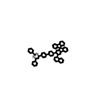 c1ccc(-c2cc(-c3ccc(-c4ccc(-c5cc6c(cc5-c5cccc7ccccc57)-c5ccccc5C65c6ccccc6-c6ccccc65)cc4)cc3)nc(-c3ccccc3)n2)cc1